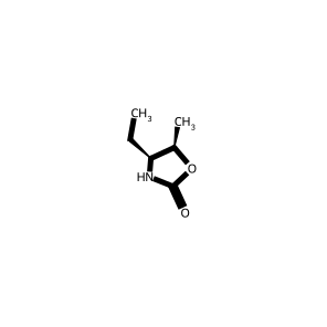 CC[C@@H]1NC(=O)O[C@@H]1C